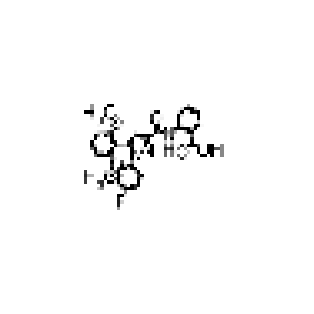 COc1cccc(OC)c1-c1cc(C(=O)Nc2ccccc2C(=O)O)nn1-c1ccc(F)cc1